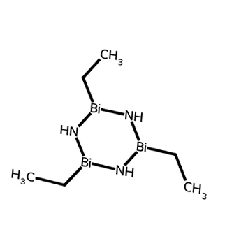 C[CH2][Bi]1[NH][Bi]([CH2]C)[NH][Bi]([CH2]C)[NH]1